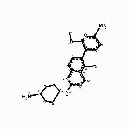 COc1nc(N)ccc1-c1ccc2nc(N[C@H]3CC[C@H](N)CC3)ncc2c1C